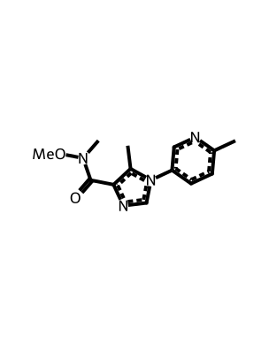 CON(C)C(=O)c1ncn(-c2ccc(C)nc2)c1C